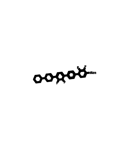 CCCCCCCCCC1=CCC(c2ccc(C3=CC=C(C4=CCC(C5CCCCC5)CC4)C(F)C3F)cc2)C(F)=C1F